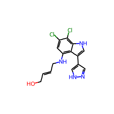 OC/C=C/CNc1cc(Cl)c(Cl)c2[nH]cc(-c3cn[nH]c3)c12